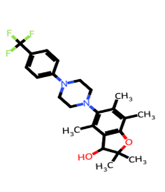 Cc1c(C)c(N2CCN(c3ccc(C(F)(F)F)cc3)CC2)c(C)c2c1OC(C)(C)C2O